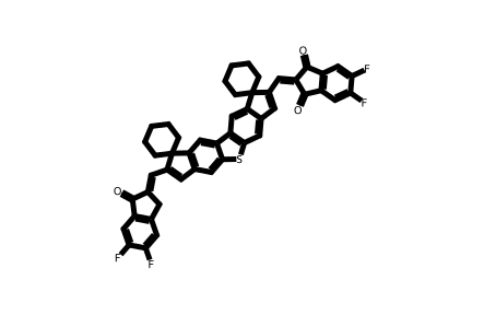 O=C1/C(=C/C2=Cc3cc4sc5cc6c(cc5c4cc3C23CCCCC3)C2(CCCCC2)C(C=C2C(=O)c3cc(F)c(F)cc3C2=O)=C6)Cc2cc(F)c(F)cc21